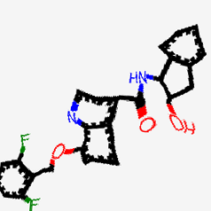 O=C(NC1c2ccccc2CC1O)c1ccnc2c(OCc3c(F)cccc3F)cccc12